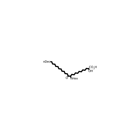 CCCCCCCCCCCCCCCCCCCCCC(=O)C(CCCCCC)CCCCCCCCCC(O)C(=O)O